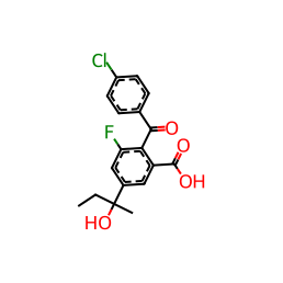 CCC(C)(O)c1cc(F)c(C(=O)c2ccc(Cl)cc2)c(C(=O)O)c1